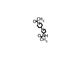 CC(=O)NC1CCN(C2CCN(C(C)=O)CC2)C1